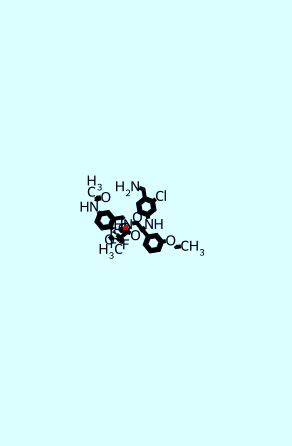 CCOc1cccc(C(Nc2ccc(CN)c(Cl)c2)(OC(=O)C(F)(F)F)C(=O)NCc2cc(NC(C)=O)ccc2S(=O)(=O)CC)c1